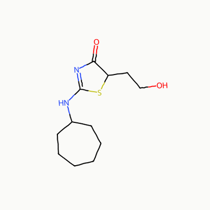 O=C1N=C(NC2CCCCCC2)SC1CCO